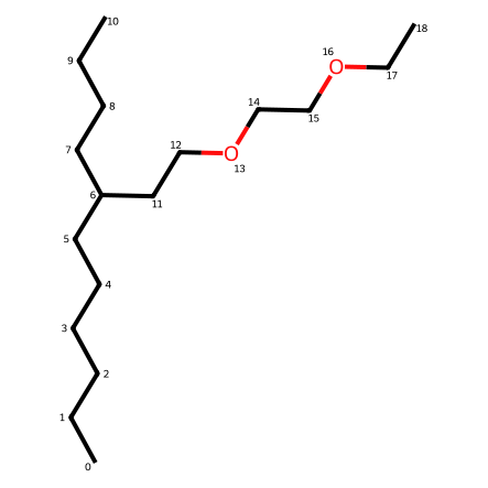 CCCCCCC(CCCC)CCOCCOCC